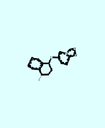 C[C@H]1CCC(Oc2ccc3nncn3c2)c2ccccc21